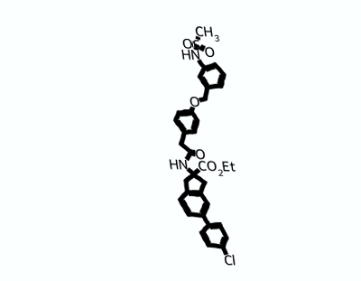 CCOC(=O)C1(NC(=O)Cc2ccc(OCc3cccc(NS(C)(=O)=O)c3)cc2)Cc2ccc(-c3ccc(Cl)cc3)cc2C1